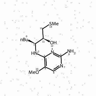 CCCC[C@H](Nc1nc(N)ncc1OC)[C@H](O)CSC